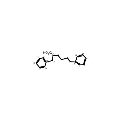 O=C(O)[C@H](CCCCc1ccccc1)Cc1ccccc1